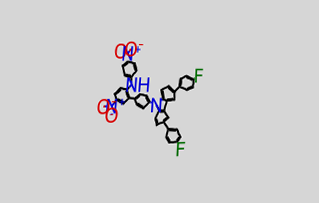 O=[N+]([O-])c1ccc(Nc2ccc([N+](=O)[O-])cc2-c2ccc(-n3c4ccc(-c5ccc(F)cc5)cc4c4cc(-c5ccc(F)cc5)ccc43)cc2)cc1